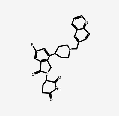 O=C1CCC(N2Cc3c(cc(F)cc3C3CCN(Cc4ccc5ncccc5c4)CC3)C2=O)C(=O)N1